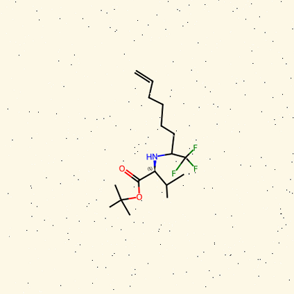 C=CCCCCC(N[C@H](C(=O)OC(C)(C)C)C(C)C)C(F)(F)F